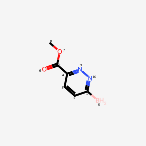 Bc1ccc(C(=O)OC)nn1